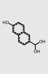 Oc1ccc2cc(C(O)O)ccc2c1